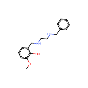 COc1cccc(CNCCNCc2ccccc2)c1O